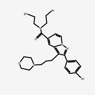 CC(=O)c1ccc(-c2nn3ccc(C(=O)N(CCC(C)C)CCC(C)C)cc3c2CCCN2CCOCC2)cc1